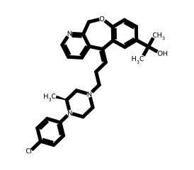 C[C@H]1CN(CCC=C2c3cc(C(C)(C)O)ccc3OCc3ncccc32)CCN1c1ccc(Cl)cc1